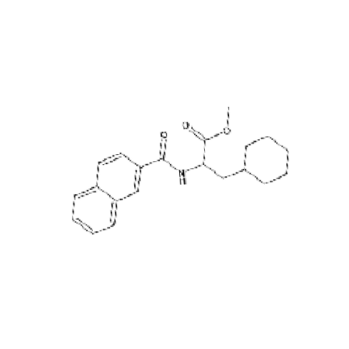 COC(=O)C(CC1CCCCC1)NC(=O)c1ccc2ccccc2c1